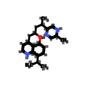 Cc1cnc(C(C)CC2Cc3ccnc4c(C(C)C)ccc(c34)O2)cn1